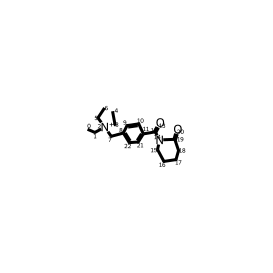 CC[N+](CC)(CC)Cc1ccc(C(=O)N2CCCCC2=O)cc1